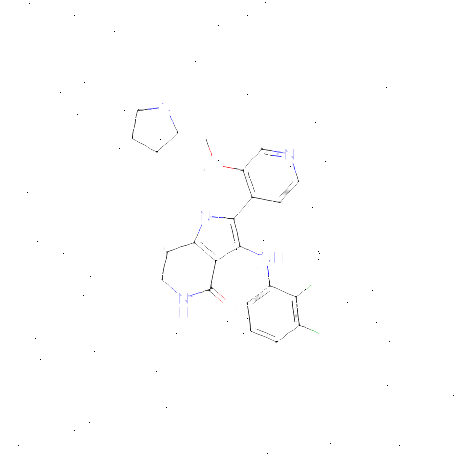 O=C1NCCc2[nH]c(-c3ccncc3OC[C@@H]3CCCN3)c(Nc3cccc(Cl)c3F)c21